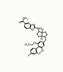 CCOc1cc(CN2CC[C@H]3C(Nc4nc5cc(C(N)=O)ccc5o4)CC[C@H]32)cc(OC)c1-c1ccc(F)cc1